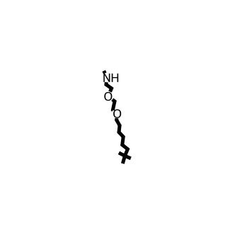 CNCCOCCOCCCCCCC(C)(C)C